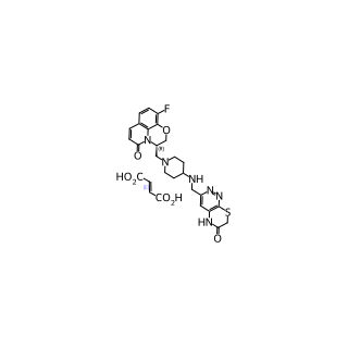 O=C(O)/C=C/C(=O)O.O=C1CSc2nnc(CNC3CCN(C[C@@H]4COc5c(F)ccc6ccc(=O)n4c56)CC3)cc2N1